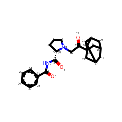 O=C(NC(=O)[C@@H]1CCCN1CC(=O)C12CC3CC(CC(C3)C1)C2)c1ccccc1